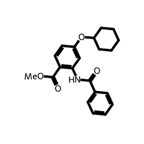 COC(=O)c1ccc(OC2CCCCC2)cc1NC(=O)c1ccccc1